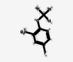 [2H]C([2H])([2H])Oc1ncc(F)cc1[N+](=O)[O-]